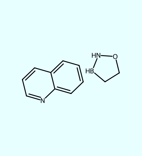 B1CCON1.c1ccc2ncccc2c1